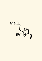 C=C[C@@H]1CO[C@@](CCOC)(C(C)C)N1C